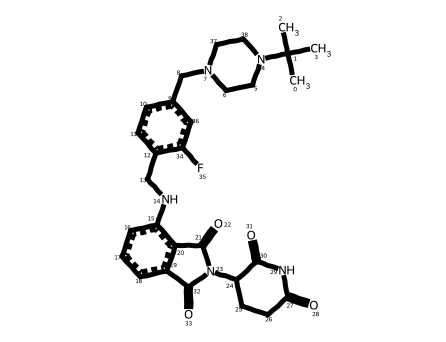 CC(C)(C)N1CCN(Cc2ccc(CNc3cccc4c3C(=O)N(C3CCC(=O)NC3=O)C4=O)c(F)c2)CC1